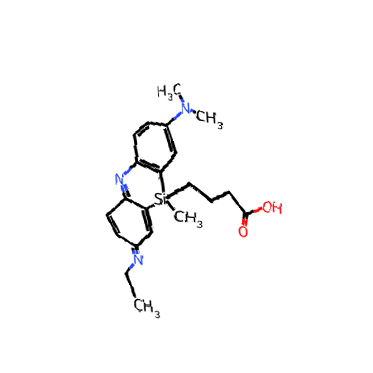 CC/N=C1\C=CC2=Nc3ccc(N(C)C)cc3[Si](C)(CCCC(=O)O)C2=C1